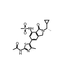 CC(=O)Nc1nc(C)c(-c2cc3c(c(NS(C)(=O)=O)c2)C(=O)N([C@@H](C)C2CC2)C3)s1